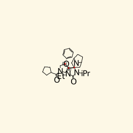 CCN1C(=O)N(C(C)C)C2(CC3CCC(C2)N3C[C@H]2CN(C(=O)C3CCCC3)C[C@@H]2c2ccccc2)C1=O